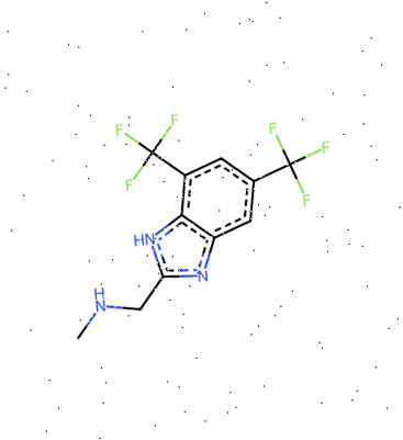 CNCc1nc2cc(C(F)(F)F)cc(C(F)(F)F)c2[nH]1